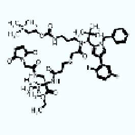 CCOC(=O)[C@@](CNC(=O)CN1C(=O)C=CC1=O)(NC(=O)CCSCC(=O)N(CCCNC(=O)OCC[Si](C)(C)C)[C@@H](c1cc(-c2cc(F)ccc2F)cn1Cc1ccccc1)C(C)(C)C)[Si](C)(C)C